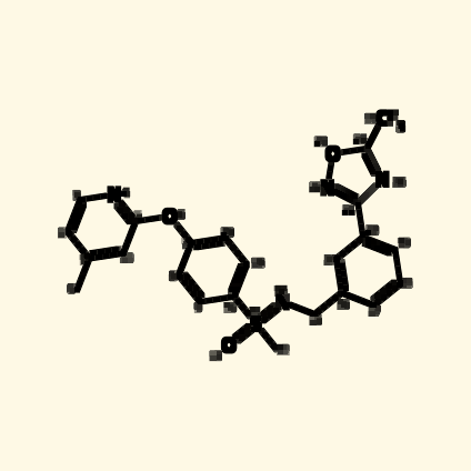 Cc1ccnc(Oc2ccc(S(C)(=O)=NCc3cccc(-c4noc(C(F)(F)F)n4)c3)cc2)c1